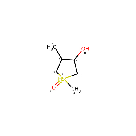 CC1C[SH](C)(=O)CC1O